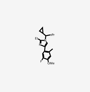 CCCC(C1CC1)n1cc(-c2cc(F)c(OC)cc2C)nc1CC